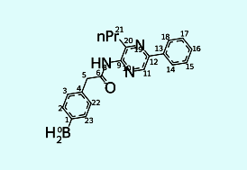 Bc1ccc(CC(=O)Nc2ncc(-c3ccccc3)nc2CCC)cc1